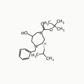 CC(C)C[C@H]1CN(C(=O)OC(C)(C)C)CC(O)CN1Cc1ccccc1